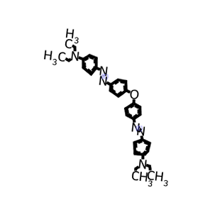 CCN(CC)c1ccc(/N=N/c2ccc(Oc3ccc(/N=N/c4ccc(N(CC)CC)cc4)cc3)cc2)cc1